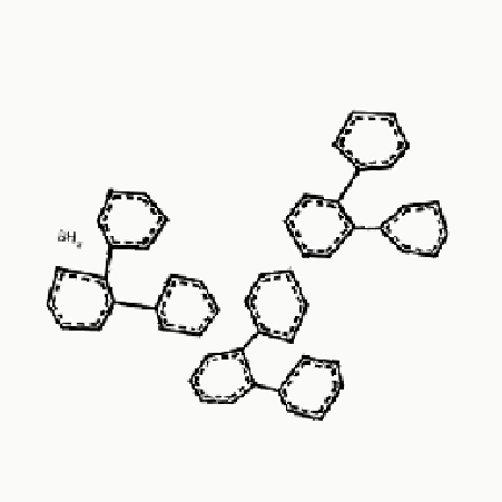 B.c1ccc(-c2ccccc2-c2ccccc2)cc1.c1ccc(-c2ccccc2-c2ccccc2)cc1.c1ccc(-c2ccccc2-c2ccccc2)cc1